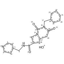 Cl.O=C(NCc1ccncc1)c1cn2c(=O)n(Cc3ccccc3)c(=O)cc2s1